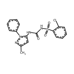 Cc1cc(NC(=O)NS(=O)(=O)c2ccccc2Cl)n(-c2ccccc2)n1